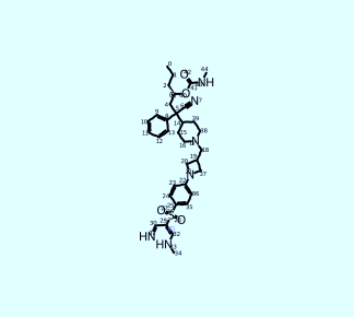 CCC[C@H](CC(C#N)(c1ccccc1)C1CCN(CC2CN(c3ccc(S(=O)(=O)/C(C=N)=C/NC)cc3)C2)CC1)OC(=O)NC